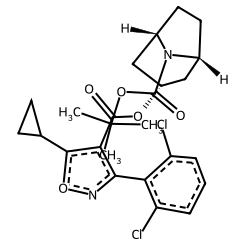 CC(C)(C)OC(=O)N1[C@@H]2CC[C@H]1C[C@@H](OC(=O)c1c(-c3c(Cl)cccc3Cl)noc1C1CC1)C2